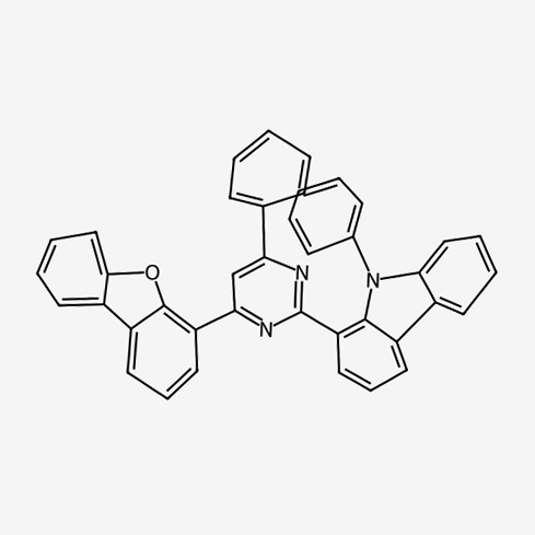 c1ccc(-c2cc(-c3cccc4c3oc3ccccc34)nc(-c3cccc4c5ccccc5n(-c5ccccc5)c34)n2)cc1